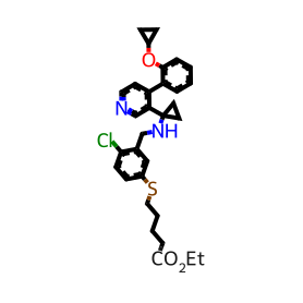 CCOC(=O)CCCCSc1ccc(Cl)c(CNC2(c3cnccc3-c3ccccc3OC3CC3)CC2)c1